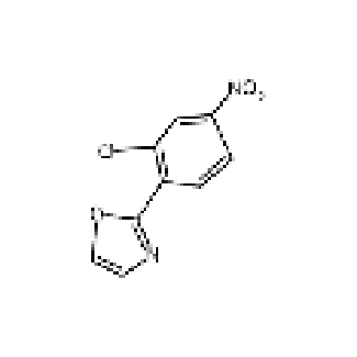 O=[N+]([O-])c1ccc(-c2ncco2)c(Cl)c1